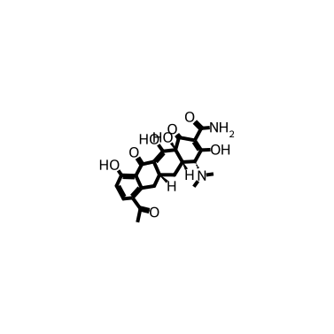 CC(=O)c1ccc(O)c2c1C[C@H]1C[C@H]3[C@@H](N(C)C)C(O)=C(C(N)=O)C(=O)[C@@]3(O)C(O)=C1C2=O